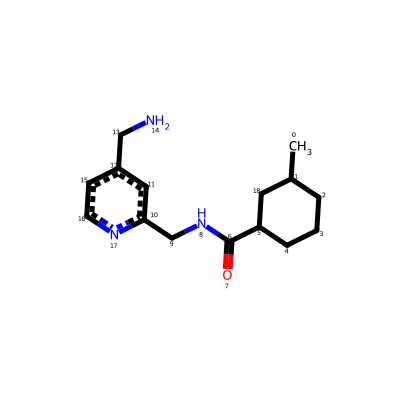 CC1CCCC(C(=O)NCc2cc(CN)ccn2)C1